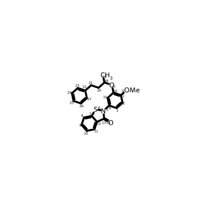 COc1ccc(-n2sc3ccccc3c2=O)cc1OC(C)CCc1ccccc1